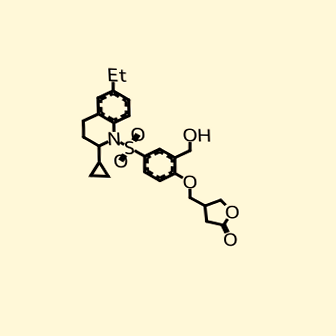 CCc1ccc2c(c1)CCC(C1CC1)N2S(=O)(=O)c1ccc(OCC2COC(=O)C2)c(CO)c1